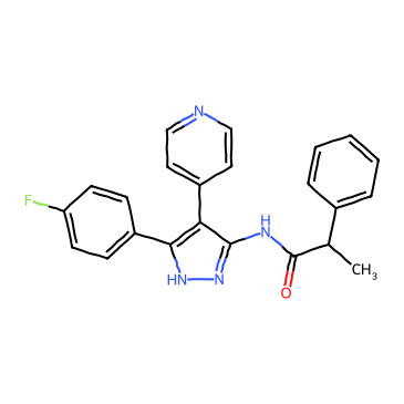 CC(C(=O)Nc1n[nH]c(-c2ccc(F)cc2)c1-c1ccncc1)c1ccccc1